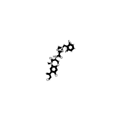 C=C(CCl)c1cc2c(cc1Cl)OC[C@H](NC(=O)c1ncn(Cc3c(F)cccc3F)n1)C(=O)N2C